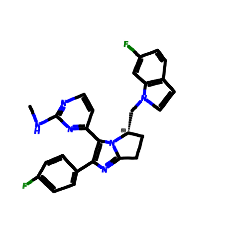 CNc1nccc(-c2c(-c3ccc(F)cc3)nc3n2[C@H](Cn2ccc4ccc(F)cc42)CC3)n1